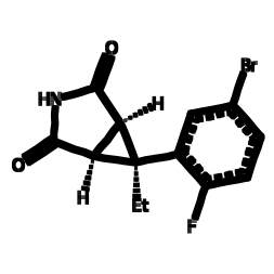 CC[C@@]1(c2cc(Br)ccc2F)[C@@H]2C(=O)NC(=O)[C@@H]21